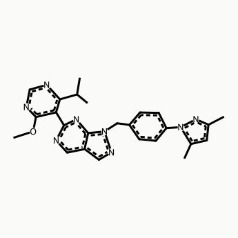 COc1ncnc(C(C)C)c1-c1ncc2cnn(Cc3ccc(-n4nc(C)cc4C)cc3)c2n1